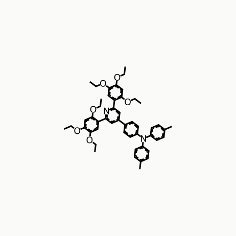 CCOc1cc(OCC)c(-c2cc(-c3ccc(N(c4ccc(C)cc4)c4ccc(C)cc4)cc3)cc(-c3cc(OCC)c(OCC)cc3OCC)n2)cc1OCC